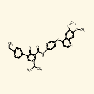 CCc1ccc(-c2cn(C(C)C)cc(C(=O)Nc3ccc(Oc4ccnc5cc(OC)c(OC)cc45)cn3)c2=O)cc1